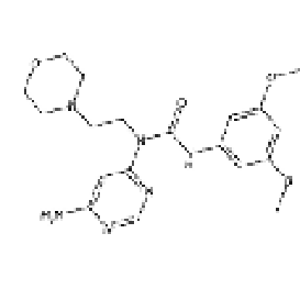 COc1cc(NC(=O)N(CCN2CCOCC2)c2cc(N)ncn2)cc(OC)c1